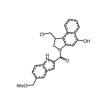 COCc1ccc2[nH]c(C(=O)N3CC(CCl)c4c3cc(O)c3ccccc43)cc2c1